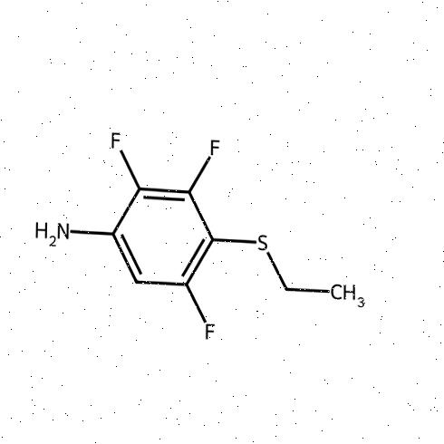 CCSc1c(F)cc(N)c(F)c1F